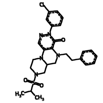 CC(C)S(=O)(=O)N1CCN2c3cnn(-c4cccc(Cl)c4)c(=O)c3N(CCc3ccccc3)CC2C1